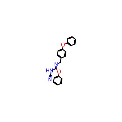 N#CNC(=NCc1ccc(Oc2ccccc2)cc1)Oc1ccccc1